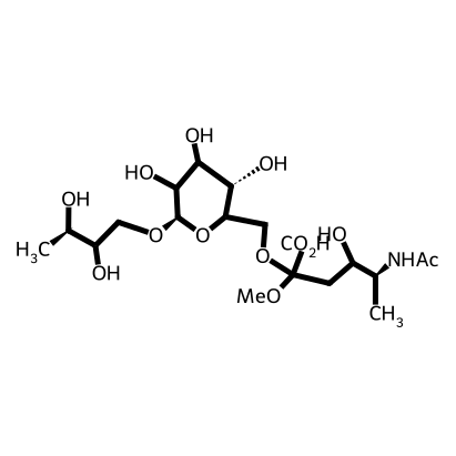 COC(CC(O)[C@H](C)NC(C)=O)(OCC1O[C@@H](OCC(O)[C@@H](C)O)C(O)C(O)[C@@H]1O)C(=O)O